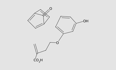 C=C(CCOc1cccc(O)c1)C(=O)O.O=C1C2=CC=C1C=C2